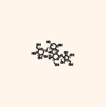 OC[C@H]1O[C@H](OC[C@H]2O[C@H](O[C@@H]3C(O)[C@H](O)[C@@H](CO)O[C@@H]3O[C@]3(CO)O[C@H](CO)[C@@H](O)[C@@H]3O)[C@H](O)C[C@H]2O)[C@H](O)[C@@H](O)[C@H]1O